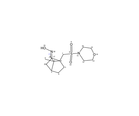 CC1(C)C2CCC1(CS(=O)(=O)N1CCOCC1)/C(=N/O)C2